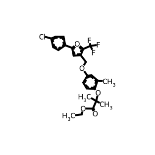 CCOC(=O)C(C)(C)Oc1ccc(OCc2cc(-c3ccc(Cl)cc3)oc2C(F)(F)F)cc1C